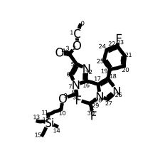 CCOC(=O)c1cn(COCC[Si](C)(C)C)c(-c2c(-c3ccc(F)cc3)ncn2C(F)F)n1